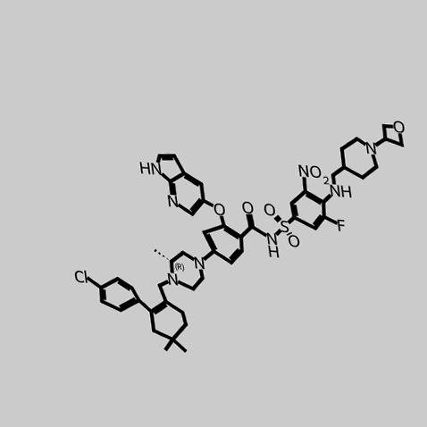 C[C@@H]1CN(c2ccc(C(=O)NS(=O)(=O)c3cc(F)c(NCC4CCN(C5COC5)CC4)c([N+](=O)[O-])c3)c(Oc3cnc4[nH]ccc4c3)c2)CCN1CC1=C(c2ccc(Cl)cc2)CC(C)(C)CC1